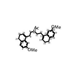 COc1ccc2c(c1)C(CCN(CCC1=CCCc3ccc(OC)cc31)C(C)=O)=CCC2